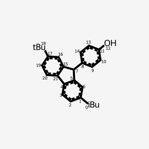 CCC(C)c1ccc2c(c1)C(c1ccc(O)cc1)c1cc(C(C)(C)C)ccc1-2